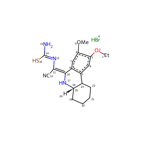 Br.CCOc1cc2c(cc1OC)C(=C(C#N)N=C(N)S)N[C@H]1CCCCC21